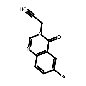 C#CCn1cnc2ccc(Br)cc2c1=O